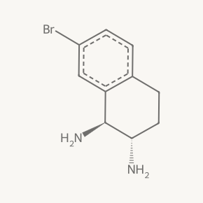 N[C@H]1CCc2ccc(Br)cc2[C@@H]1N